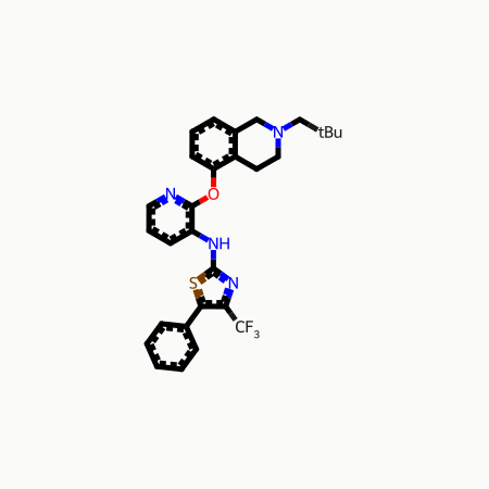 CC(C)(C)CN1CCc2c(cccc2Oc2ncccc2Nc2nc(C(F)(F)F)c(-c3ccccc3)s2)C1